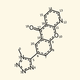 Cn1nnnc1-c1ccc2oc3ncccc3c(=O)c2c1